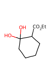 CCOC(=O)C1CCCCC1(O)O